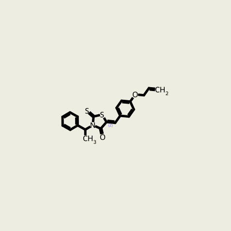 C=CCOc1ccc(/C=C2\SC(=S)N(C(C)c3ccccc3)C2=O)cc1